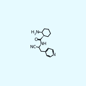 N#CC(Cc1ccncc1)NC(=O)[C@@H]1CCCC[C@@H]1N